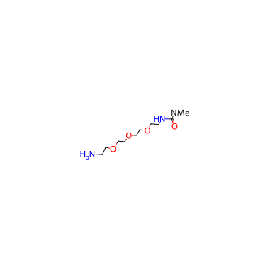 CNC(=O)NCCOCCOCCOCCN